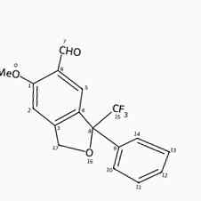 COc1cc2c(cc1C=O)C(c1ccccc1)(C(F)(F)F)OC2